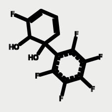 OC1C(F)=CC=CC1(O)c1c(F)c(F)c(F)c(F)c1F